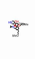 COCCCc1cc(CN(C(=O)[C@H]2CNCC[C@]2(O)c2cccc(OC)c2)C2CC2)cc(OCCOC)c1